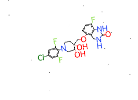 O=C1NCc2c(OC[C@]3(O)CCN(c4c(F)cc(Cl)cc4F)C[C@H]3O)ccc(F)c2N1